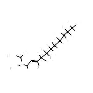 CC(O)N(C)C(F)C=C(F)C(F)(F)C(F)(F)C(F)(F)C(F)(F)C(F)(F)C(F)(F)C(F)(F)C(F)(F)C(F)(F)F